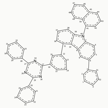 c1ccc(-c2ccc3c(c2)c2c(-c4cccc(-c5nc(-c6ccccc6)nc(-c6ccccc6)n5)c4)cccc2n3-c2cccc3ccccc23)cc1